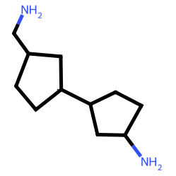 NCC1CC[C](C2CCC(N)C2)C1